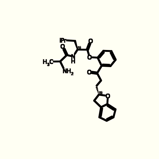 CC(C)C[C@H](NC(=O)C(C)N)C(=O)Oc1ccccc1C(=O)CC[C@H]1Cc2ccccc2O1